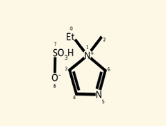 CC[N+]1(C)C=CN=C1.O=S(=O)([O-])O